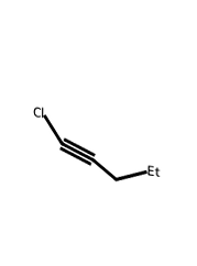 [CH2]CCC#CCl